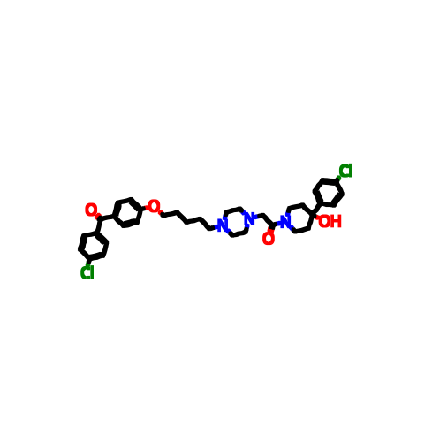 O=C(c1ccc(Cl)cc1)c1ccc(OCCCCCN2CCN(CC(=O)N3CCC(O)(c4ccc(Cl)cc4)CC3)CC2)cc1